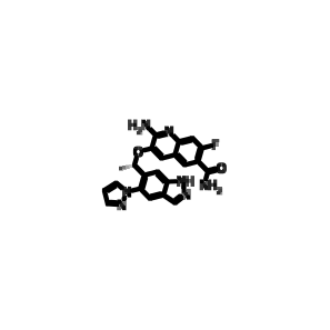 C[C@H](Oc1cc2cc(C(N)=O)c(F)cc2nc1N)c1cc2[nH]ncc2cc1-n1cccn1